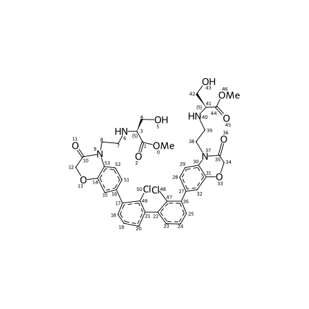 COC(=O)[C@H](CO)NCCN1C(=O)COc2cc(-c3cccc(-c4cccc(-c5ccc6c(c5)OCC(=O)N6CCN[C@@H](CO)C(=O)OC)c4Cl)c3Cl)ccc21